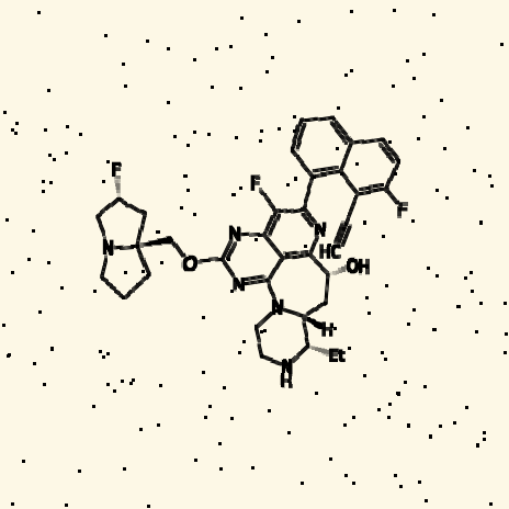 C#Cc1c(F)ccc2cccc(-c3nc4c5c(nc(OC[C@@]67CCCN6C[C@H](F)C7)nc5c3F)N3CCN[C@@H](CC)[C@H]3C[C@H]4O)c12